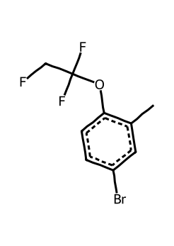 Cc1cc(Br)ccc1OC(F)(F)CF